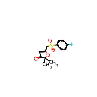 CC1(C)OC(CS(=O)(=O)c2ccc(F)cc2)=CC1=O